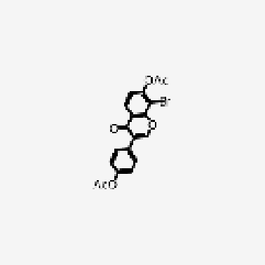 CC(=O)Oc1ccc(-c2coc3c(Br)c(OC(C)=O)ccc3c2=O)cc1